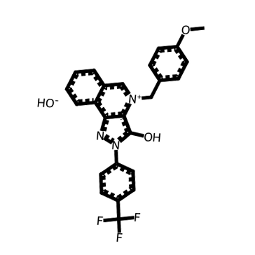 COc1ccc(C[n+]2cc3ccccc3c3nn(-c4ccc(C(F)(F)F)cc4)c(O)c32)cc1.[OH-]